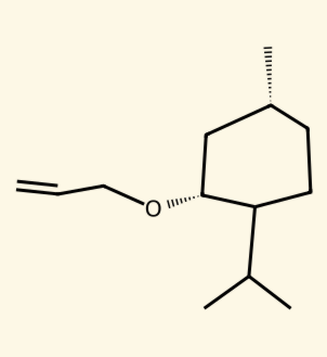 C=CCO[C@@H]1C[C@H](C)CCC1C(C)C